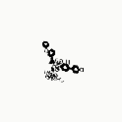 NS(=O)(=O)NCCN(C1(C(=O)O)CC1c1cccc(Oc2ccccc2)c1)S(=O)(=O)c1ccc(-c2ccc(Cl)cc2)cc1